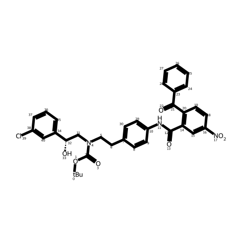 CC(C)(C)OC(=O)N(CCc1ccc(NC(=O)c2cc([N+](=O)[O-])ccc2C(=O)c2ccccc2)cc1)C[C@H](O)c1cccc(Cl)c1